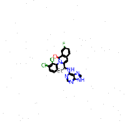 CC[C@H](Nc1ncnc2[nH]cnc12)c1cc2ccc(F)cc2c(=O)n1-c1cccc(Cl)c1Cl